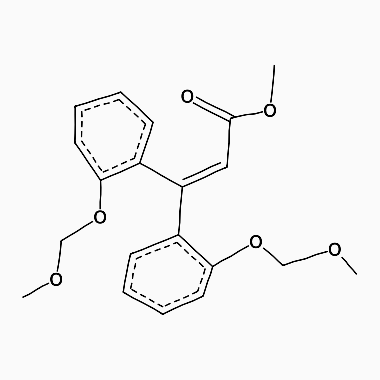 COCOc1ccccc1C(=CC(=O)OC)c1ccccc1OCOC